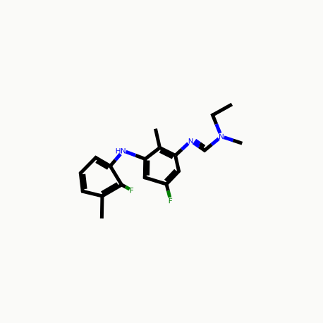 CCN(C)C=Nc1cc(F)cc(Nc2cccc(C)c2F)c1C